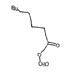 CCC(C)CCCC(=O)OC=O